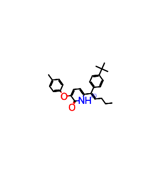 CCC/C=C(\c1ccc(C(C)(C)C)cc1)c1ccc(Oc2ccc(C)cc2)c(=O)[nH]1